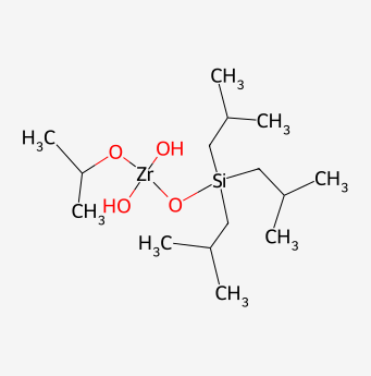 CC(C)C[Si](CC(C)C)(CC(C)C)[O][Zr]([OH])([OH])[O]C(C)C